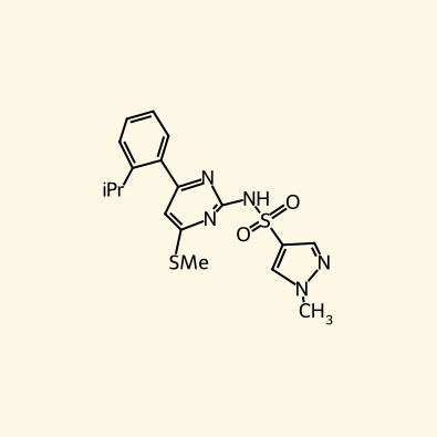 CSc1cc(-c2ccccc2C(C)C)nc(NS(=O)(=O)c2cnn(C)c2)n1